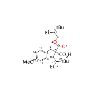 CCCCC(CC)COC(=O)C(Cc1ccc(OC)cc1)(CC(CC)CCCC)C(=O)O